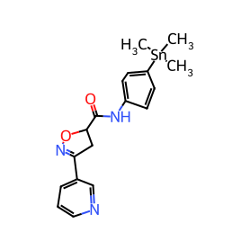 [CH3][Sn]([CH3])([CH3])[c]1ccc(NC(=O)C2CC(c3cccnc3)=NO2)cc1